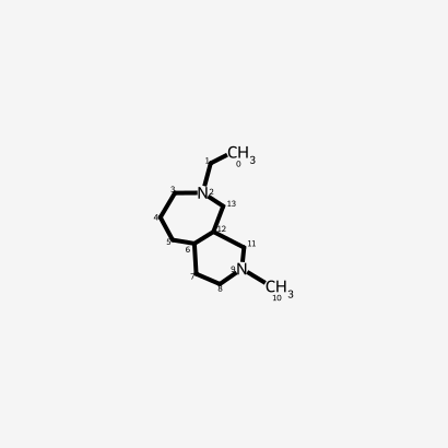 CCN1CCCC2CCN(C)CC2C1